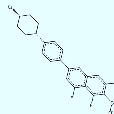 CC[C@H]1CC[C@H](c2ccc(-c3cc(F)c4c(F)c(OC(F)(F)F)c(F)cc4c3)cc2)CC1